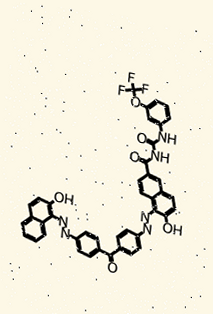 O=C(NC(=O)c1ccc2c(N=Nc3ccc(C(=O)c4ccc(N=Nc5c(O)ccc6ccccc56)cc4)cc3)c(O)ccc2c1)Nc1cccc(OC(F)(F)F)c1